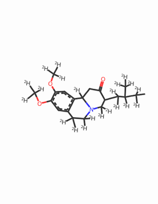 [2H]C([2H])([2H])Oc1cc2c(cc1OC([2H])([2H])[2H])C([2H])([2H])C([2H])([2H])N1C2([2H])CC(=O)C(C([2H])([2H])C([2H])(C([2H])([2H])[2H])C([2H])([2H])C)C1([2H])[2H]